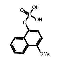 COc1ccc(OP(=O)(O)O)c2ccccc12